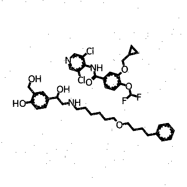 O=C(Nc1c(Cl)cncc1Cl)c1ccc(OC(F)F)c(OCC2CC2)c1.OCc1cc(C(O)CNCCCCCCOCCCCc2ccccc2)ccc1O